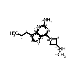 CCCc1coc2c(N3CC(NC)C3)nc(N)nc12